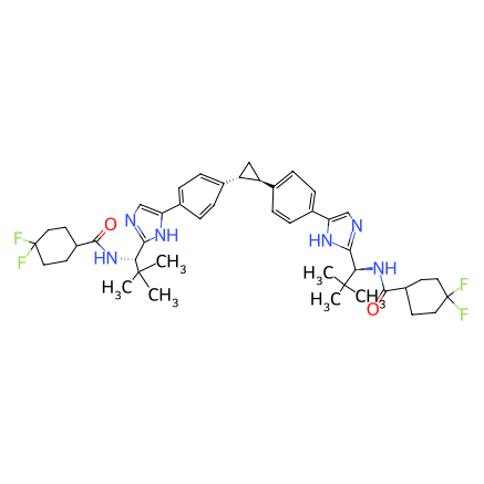 CC(C)(C)[C@H](NC(=O)C1CCC(F)(F)CC1)c1ncc(-c2ccc([C@@H]3C[C@H]3c3ccc(-c4cnc([C@@H](NC(=O)C5CCC(F)(F)CC5)C(C)(C)C)[nH]4)cc3)cc2)[nH]1